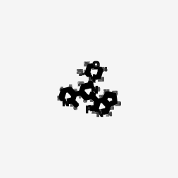 Cc1ncccc1-c1cc(-c2c(F)ncc3c2C=CC3)nc(N2CCOC[C@H]2C)c1